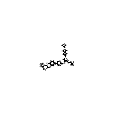 CC(Cn1cnnn1)Oc1cc(-c2cnc(Nc3cn(C4CC5(C4)CN(C4COC4)C5)nc3CCC(F)(F)F)nc2)ccc1Cl